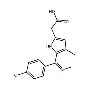 C/N=C(/c1ccc(Cl)cc1)c1[nH]c(CC(=O)O)cc1C